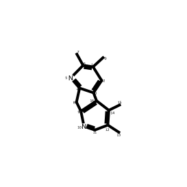 Cc1cc2c(nc1C)Cc1ncc(C)c(C)c1-2